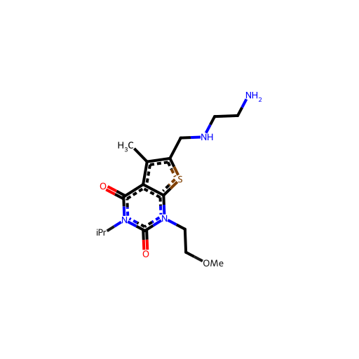 COCCn1c(=O)n(C(C)C)c(=O)c2c(C)c(CNCCN)sc21